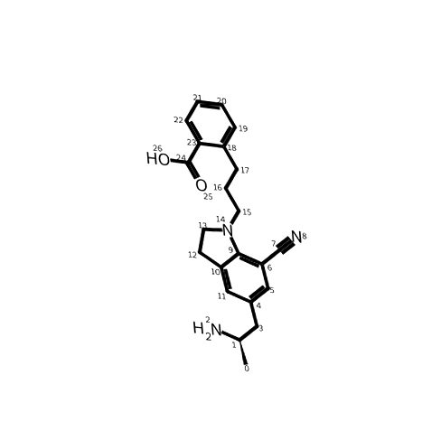 C[C@@H](N)Cc1cc(C#N)c2c(c1)CCN2CCCc1ccccc1C(=O)O